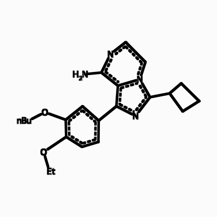 CCCCOc1cc(-c2nc(C3CCC3)n3ccnc(N)c23)ccc1OCC